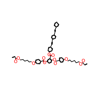 C=CC(=O)OCCCCCCOc1ccc(C(=O)Oc2ccc(OC(=O)c3ccc(OCCCCCCOC(=O)C=C)cc3)c(C(=O)Oc3ccc(C#Cc4ccc(C#Cc5ccccc5)cc4)cc3)c2)cc1